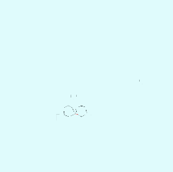 CCCCCCCCCCC1CCC(C(OC(c2ccc(F)c(F)c2)C2CCC(CCCCCCCCCC)CC2)c2ccc(F)c(F)c2)CC1